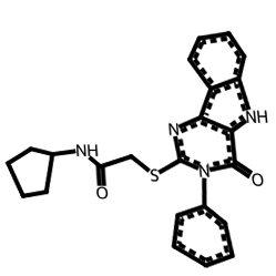 O=C(CSc1nc2c([nH]c3ccccc32)c(=O)n1-c1ccccc1)NC1CCCC1